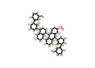 COc1ccc2c(-c3ccc(-c4cccc5c4sc4c(C)cccc45)c4ccccc34)c3ccccc3c(-c3cccc4c3sc3c(C)cccc34)c2c1